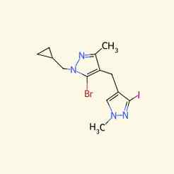 Cc1nn(CC2CC2)c(Br)c1Cc1cn(C)nc1I